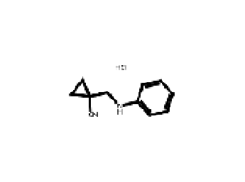 Cl.N#CC1(CNc2ccccc2)CC1